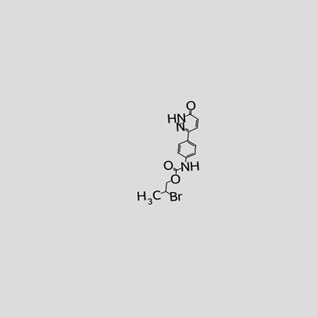 CC(Br)COC(=O)Nc1ccc(-c2ccc(=O)[nH]n2)cc1